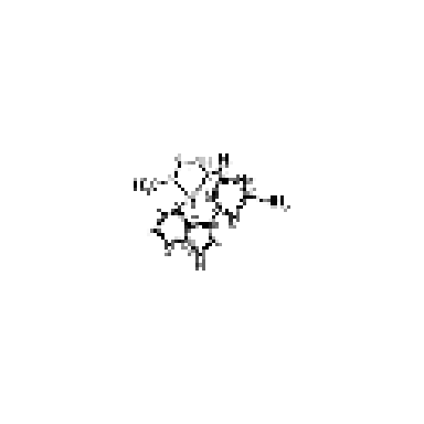 C[C@@H]1CN[C@@H](C)CN1c1ccnc2[nH]cc(-c3ccnc(N)n3)c12